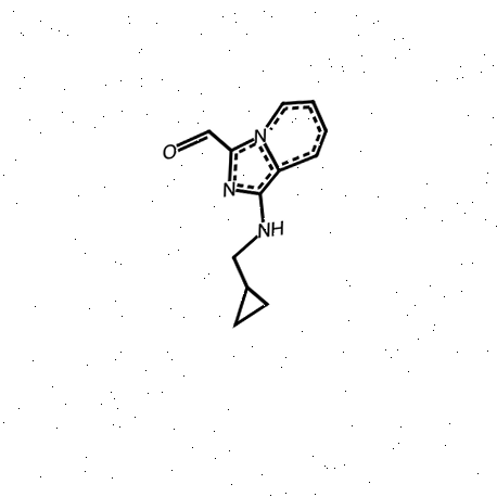 O=Cc1nc(NCC2CC2)c2ccccn12